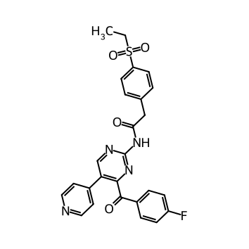 CCS(=O)(=O)c1ccc(CC(=O)Nc2ncc(-c3ccncc3)c(C(=O)c3ccc(F)cc3)n2)cc1